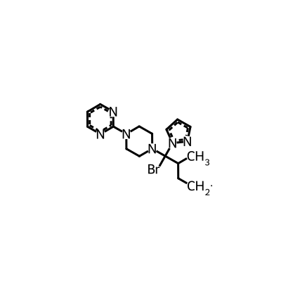 [CH2]CC(C)C(Br)(N1CCN(c2ncccn2)CC1)n1cccn1